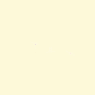 CC(NC(=O)CN)C(=O)NC(CO)C(=O)O